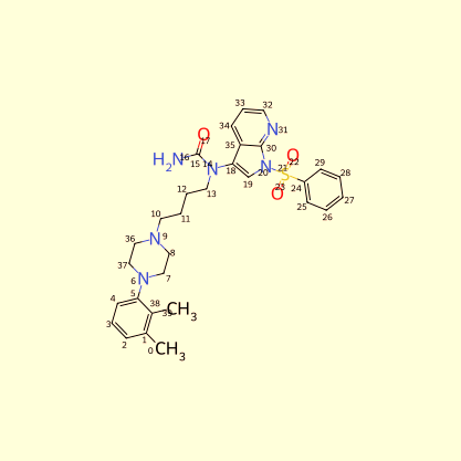 Cc1cccc(N2CCN(CCCCN(C(N)=O)c3cn(S(=O)(=O)c4ccccc4)c4ncccc34)CC2)c1C